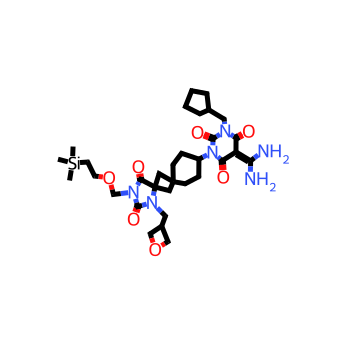 C[Si](C)(C)CCOCN1C(=O)N(CC2COC2)C2(CC3(CCC(N4C(=O)C(=C(N)N)C(=O)N(CC5CCCC5)C4=O)CC3)C2)C1=O